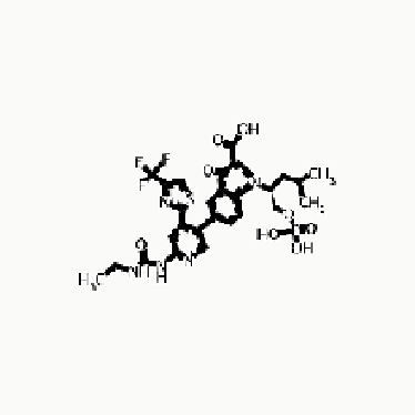 CCNC(=O)Nc1cc(-c2nc(C(F)(F)F)cs2)c(-c2ccc3c(c2)c(=O)c(C(=O)O)cn3[C@H](COP(=O)(O)O)CC(C)C)cn1